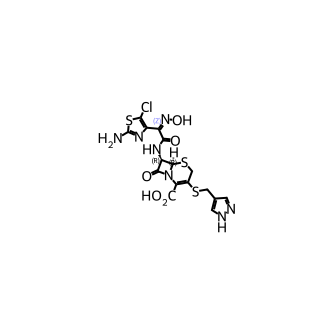 Nc1nc(/C(=N/O)C(=O)N[C@@H]2C(=O)N3C(C(=O)O)=C(SCc4cn[nH]c4)CS[C@H]23)c(Cl)s1